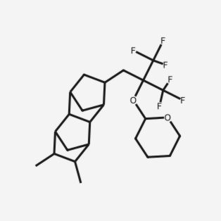 CC1C(C)C2CC1C1C3CC(CC(OC4CCCCO4)(C(F)(F)F)C(F)(F)F)C(C3)C21